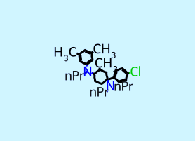 CCCN(c1cc(C)cc(C)c1)C1CCC(c2ccc(Cl)cc2)(N(CCC)CCC)CC1C